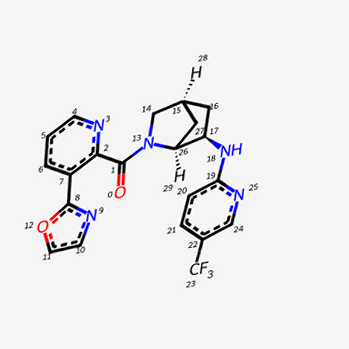 O=C(c1ncccc1-c1ncco1)N1C[C@H]2C[C@@H](Nc3ccc(C(F)(F)F)cn3)[C@@H]1C2